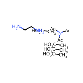 CC(=O)N(C(C)=O)C(C)=O.CC(=O)O.CC(=O)O.CC(=O)O.CC(=O)O.NCCN